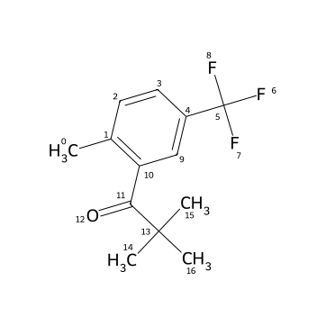 Cc1ccc(C(F)(F)F)cc1C(=O)C(C)(C)C